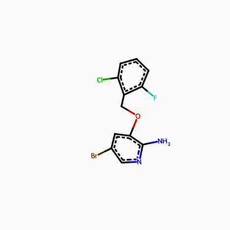 Nc1ncc(Br)cc1OCc1c(F)cccc1Cl